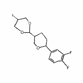 Fc1ccc(C2CCC(C3OCC(I)CO3)CO2)cc1F